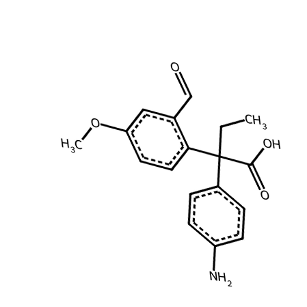 CCC(C(=O)O)(c1ccc(N)cc1)c1ccc(OC)cc1C=O